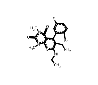 CCNc1nc2c(c(-c3cc(F)ccc3Br)c1CN)c(=O)n(C)c(=O)n2C